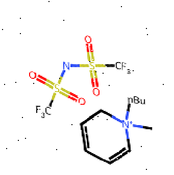 CCCC[N+]1(C)C=CC=CC1.O=S(=O)([N-]S(=O)(=O)C(F)(F)F)C(F)(F)F